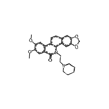 COc1cc2c(=O)n(CCN3CCCCC3)c3c4cc5c(cc4ccc3c2cc1OC)OCO5